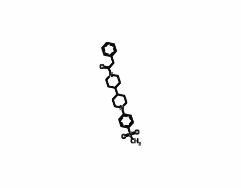 CS(=O)(=O)c1ccc(N2CCC(C3CCN(C(=O)Cc4ccccc4)CC3)CC2)cc1